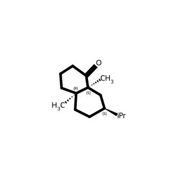 CC(C)[C@H]1CC[C@@]2(C)CCCC(=O)[C@@]2(C)C1